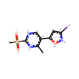 Cc1nc(S(C)(=O)=O)ncc1-c1cc(I)no1